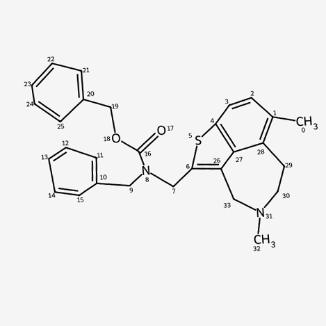 Cc1ccc2sc(CN(Cc3ccccc3)C(=O)OCc3ccccc3)c3c2c1CCN(C)C3